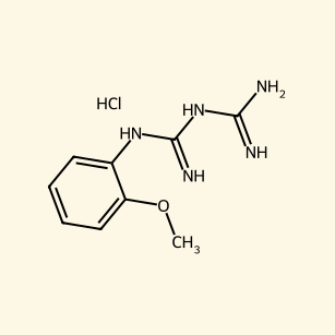 COc1ccccc1NC(=N)NC(=N)N.Cl